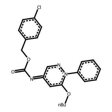 CCCCOc1cc(=NC(=O)OCc2ccc(Cl)cc2)cnn1-c1ccccc1